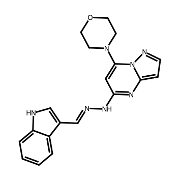 C(=NNc1cc(N2CCOCC2)n2nccc2n1)c1c[nH]c2ccccc12